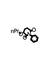 CCCOC1CCC(=O)N(c2ccccc2)C1=O